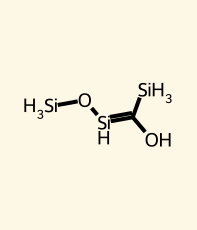 OC([SiH3])=[SiH]O[SiH3]